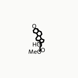 COC(=O)CC[C@]1(O)CCC2C3CCC4=CC(=O)CCC4C3CC[C@@]21C